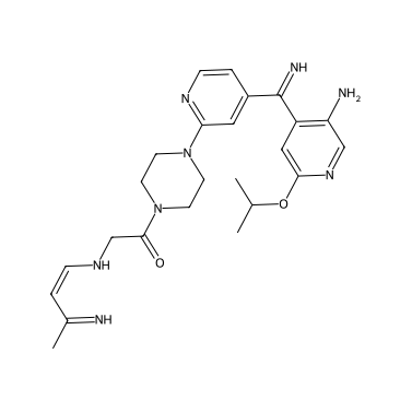 CC(=N)/C=C\NCC(=O)N1CCN(c2cc(C(=N)c3cc(OC(C)C)ncc3N)ccn2)CC1